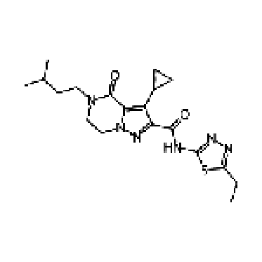 CCc1nnc(NC(=O)c2nn3c(c2C2CC2)C(=O)N(CCC(C)C)CC3)s1